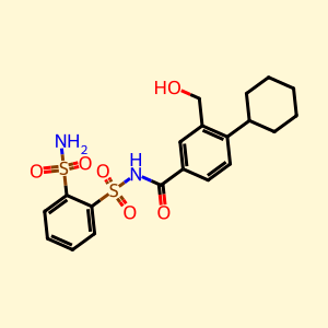 NS(=O)(=O)c1ccccc1S(=O)(=O)NC(=O)c1ccc(C2CCCCC2)c(CO)c1